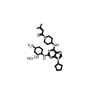 CC(C)=CC(=O)N1CCC(Nc2nc(NC3CCC(N)CC3)nc3c2ncn3C2CCCC2)CC1.Cl.Cl